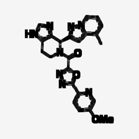 COc1ccc(-c2nnc(C(=O)N3CCc4[nH]cnc4[C@H]3c3cc4c(C)cccn4n3)o2)nc1